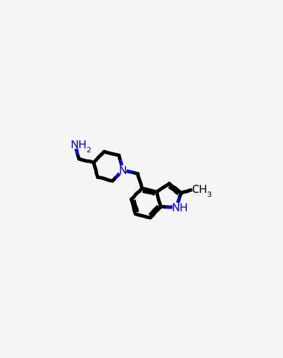 Cc1cc2c(CN3CCC(CN)CC3)cccc2[nH]1